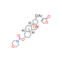 CC(=O)O[C@@H]1C[C@@]2(O)[C@@H]3CC[C@@H]4C[C@H](OC(=O)N5CCOCC5)CC[C@@]4(C)[C@@H]3CC[C@]2(C)[C@H]1C1=CC(=O)OC1